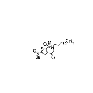 COCCCN1CC(=O)c2cc([SH](=O)=O)sc2S1(=O)=O